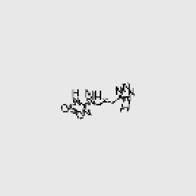 NN(CCCc1nnn[nH]1)C1=NOS(=O)N1